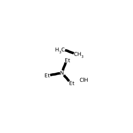 CC.CCN(CC)CC.Cl